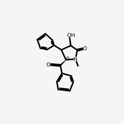 CN1C(=O)C(O)C(c2ccccc2)[C@@H]1C(=O)c1ccccc1